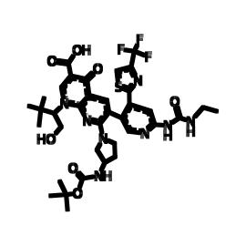 CCNC(=O)Nc1cc(-c2nc(C(F)(F)F)cs2)c(-c2cc3c(=O)c(C(=O)O)cn(C(CO)C(C)(C)C)c3nc2N2CCC(NC(=O)OC(C)(C)C)C2)cn1